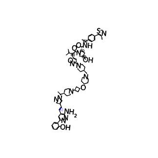 Cc1ncsc1-c1ccc([C@H](C)NC(=O)[C@@H]2C[C@@H](O)CN2C(=O)[C@@H](c2cc(N3CCC(CN4CCC(O[C@H]5C[C@H](N6CCC(C(C)n7cc(/C=C/c8cc(-c9ccccc9O)nnc8N)cn7)CC6)C5)CC4)CC3)no2)C(C)C)cc1